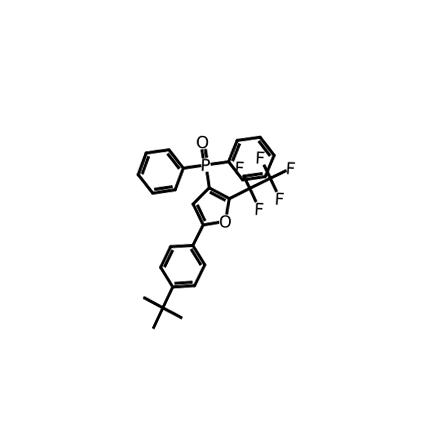 CC(C)(C)c1ccc(-c2cc(P(=O)(c3ccccc3)c3ccccc3)c(C(F)(F)C(F)(F)F)o2)cc1